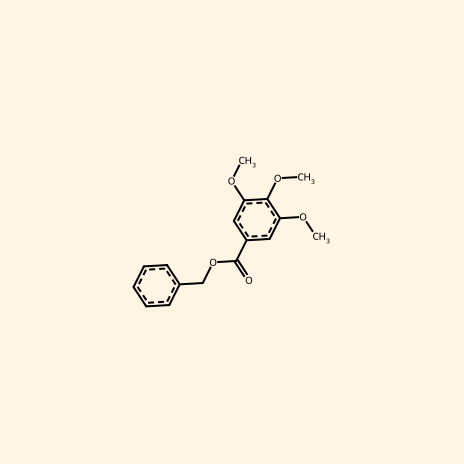 COc1cc(C(=O)OCc2ccccc2)cc(OC)c1OC